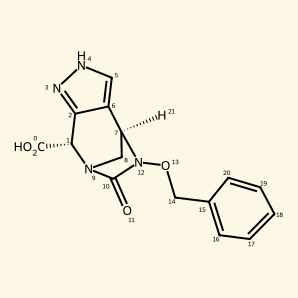 O=C(O)[C@@H]1c2n[nH]cc2[C@@H]2CN1C(=O)N2OCc1ccccc1